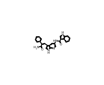 NC(=O)/C(=C\c1c[nH]c2ncc(NC(=O)c3c[nH]c4ccccc34)cc12)c1ccccc1